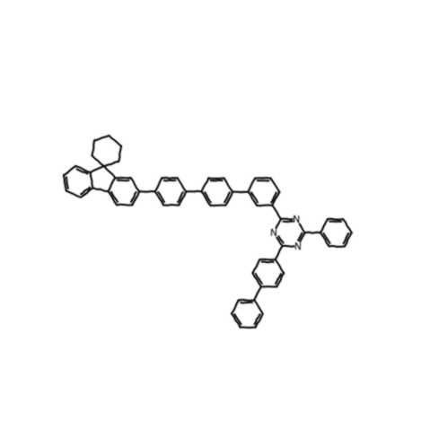 c1ccc(-c2ccc(-c3nc(-c4ccccc4)nc(-c4cccc(-c5ccc(-c6ccc(-c7ccc8c(c7)C7(CCCCC7)c7ccccc7-8)cc6)cc5)c4)n3)cc2)cc1